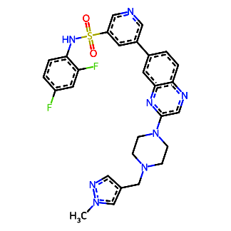 Cn1cc(CN2CCN(c3cnc4ccc(-c5cncc(S(=O)(=O)Nc6ccc(F)cc6F)c5)cc4n3)CC2)cn1